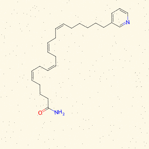 NC(=O)CCC/C=C\C/C=C\C/C=C\C/C=C\CCCCCc1cccnc1